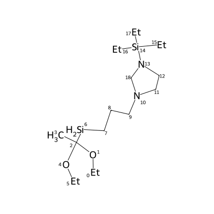 CCOC(C)(OCC)[SiH2]CCCN1CCN([Si](CC)(CC)CC)C1